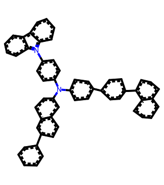 c1ccc(-c2ccc3cc(N(c4ccc(-c5ccc(-c6cccc7ccccc67)cc5)cc4)c4ccc(-n5c6ccccc6c6ccccc65)cc4)ccc3c2)cc1